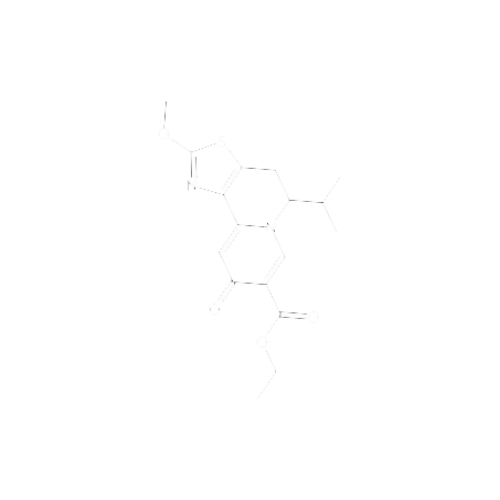 CCOC(=O)c1cn2c(cc1=O)-c1nc(OC)sc1CC2C(C)C